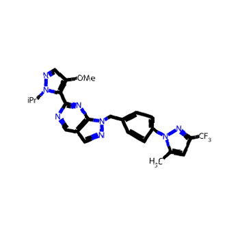 COc1cnn(C(C)C)c1-c1ncc2cnn(Cc3ccc(-n4nc(C(F)(F)F)cc4C)cc3)c2n1